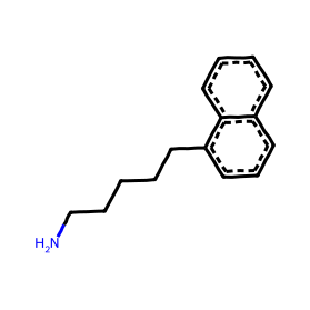 NCCCCCc1cccc2ccccc12